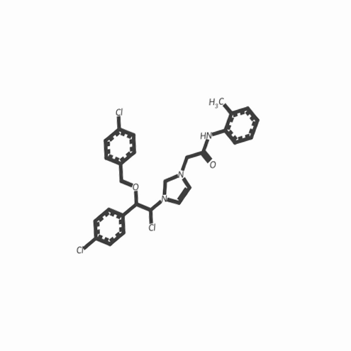 Cc1ccccc1NC(=O)CN1C=CN(C(Cl)C(OCc2ccc(Cl)cc2)c2ccc(Cl)cc2)C1